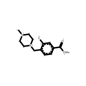 COC(=O)c1ccc(CN2CCN(C)CC2)c(F)c1